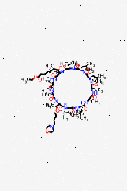 CCOC(=O)CCCC[C@@H](C)[C@H]1ON2C(=O)[C@H](C(C)C)N(C)C(=O)[C@H](CC(C)C)N(C)C(=O)[C@H](CC(C)C)N(C)C(=O)[C@@H](C)NC(=O)[C@H](C)NC(=O)[C@H](CC(C)C)N(C)C(=O)[C@H](C(C)C)NC(=O)[C@H]([C@@H](C)OCCCCN3CCOCC3)N(C)C(=O)[C@@H](C)N(C)C(=O)[C@H](CC)NC(=O)[C@H]12